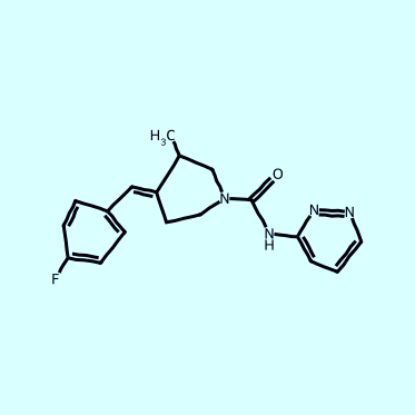 CC1CN(C(=O)Nc2cccnn2)CC/C1=C\c1ccc(F)cc1